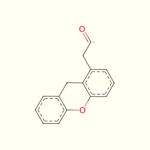 O=[C]Cc1cccc2c1Cc1ccccc1O2